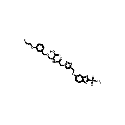 NS(=O)(=O)c1nc2cc(OCc3cn(CC(=O)N[C@@H](COCc4cccc(OCCF)c4)C(=O)O)nn3)ccc2s1